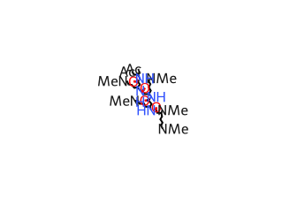 CNCCCCC(CC(=O)NC(CCCCNC)CC(=O)NC(CCCCNC)CC(=O)NC(CCCCNC)CC(=O)NC(CC(C)=O)CC(C)=O)NC